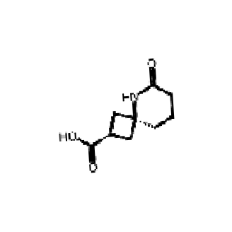 O=C1CCC[C@]2(C[C@H](C(=O)O)C2)N1